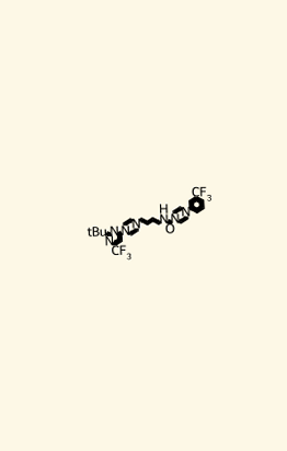 CC(C)(C)c1nc(N2CCN(CCCCNC(=O)N3CCN(c4cccc(C(F)(F)F)c4)CC3)CC2)cc(C(F)(F)F)n1